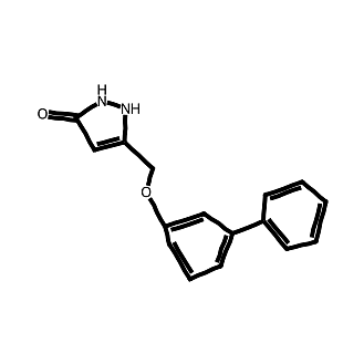 O=c1cc(COc2cccc(-c3ccccc3)c2)[nH][nH]1